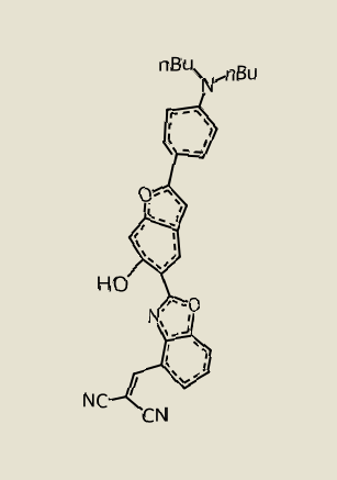 CCCCN(CCCC)c1ccc(-c2cc3cc(-c4nc5c(C=C(C#N)C#N)cccc5o4)c(O)cc3o2)cc1